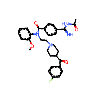 COc1ccccc1N(CCN1CCC(C(=O)c2ccc(F)cc2)CC1)C(=O)c1ccc(C(=N)NC(C)=O)cc1